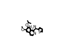 COc1cc2ccnc(C(N)c3cccs3)c2cc1OC(C)C